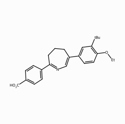 CCOc1ccc(C2=CN=C(c3ccc(C(=O)O)cc3)CCC2)cc1C(C)(C)C